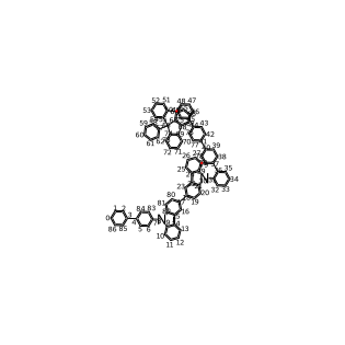 c1ccc(-c2ccc(-n3c4ccccc4c4cc(-c5ccc6c(c5)c5ccccc5n6-c5ccccc5-c5ccc(-c6ccc(-c7cccc(-c8ccccc8C8(c9ccccc9)c9ccccc9-c9ccccc98)c7)cc6)cc5)ccc43)cc2)cc1